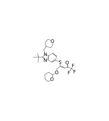 CC(C)(C)c1nc2cc(S/C(=C\C(=O)C(F)(F)F)COC3CCCCO3)ccc2n1CC1CCOCC1